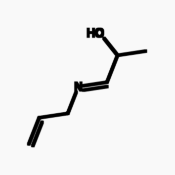 C=CCN=CC(C)O